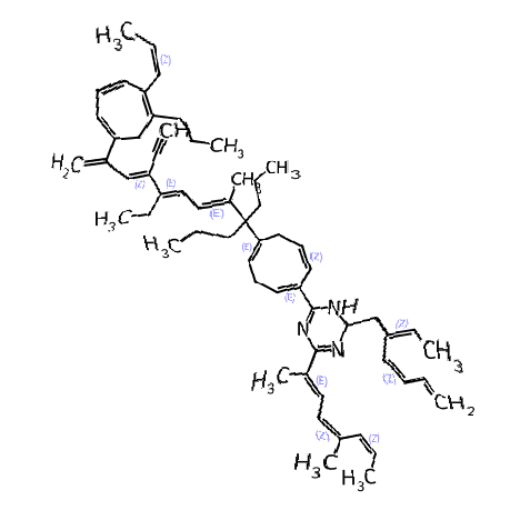 C#CC(=C\C(=C)C1=CC=CC(/C=C\C)=C(CCC)C1)/C(=C/C=C(\C)C(CCC)(CCC)/C1=C/C/C=C(C2=NC(/C(C)=C/C=C(C)\C=C/C)=NC(CC(/C=C\C=C)=C/C)N2)\C=C/C1)CC